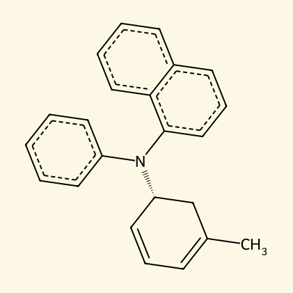 CC1=CC=C[C@H](N(c2ccccc2)c2cccc3ccccc23)C1